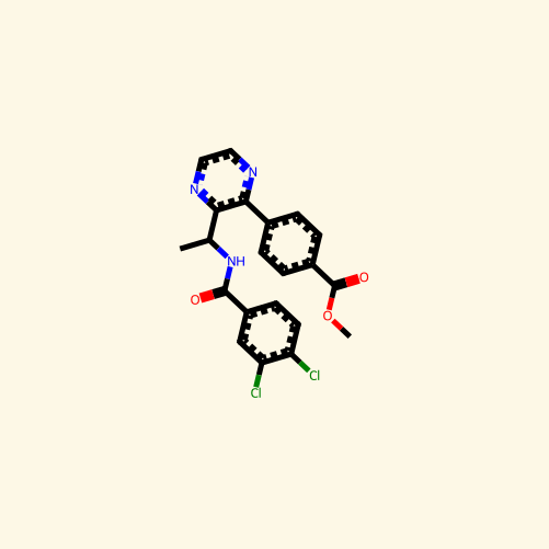 COC(=O)c1ccc(-c2nccnc2C(C)NC(=O)c2ccc(Cl)c(Cl)c2)cc1